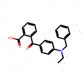 CCN(Cc1ccccc1)c1ccc(C(=O)c2ccccc2C(=O)O)cc1